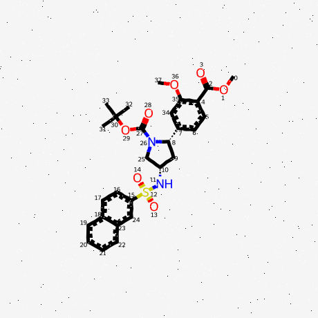 COC(=O)c1ccc([C@@H]2C[C@H](NS(=O)(=O)c3ccc4ccccc4c3)CN2C(=O)OC(C)(C)C)cc1OC